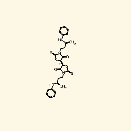 C=C(CCN1C(=O)/C(=C2\SC(=S)N(CCC(=C)Nc3ccccc3)C2=O)SC1=S)Nc1ccccc1